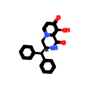 O=C1N[C@H](C(c2ccccc2)c2ccccc2)Cn2ccc(=O)c(O)c21